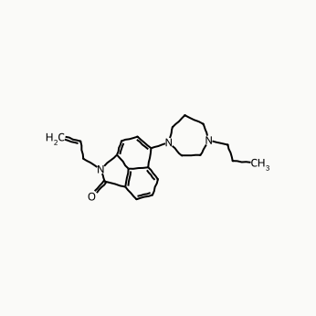 C=CCN1C(=O)c2cccc3c(N4CCCN(CCC)CC4)ccc1c23